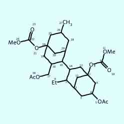 CCC1C2CC(OC(C)=O)CC(OC(=O)OC)(C2)CC1C1C(COC(C)=O)CC2(OC(=O)OC)CC(C)CC1C2